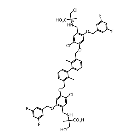 Cc1c(COc2cc(OCc3cc(F)cc(F)c3)c(CNC(C)(CO)C(=O)O)cc2Cl)cccc1-c1cccc(COc2cc(OCc3cc(F)cc(F)c3)c(CN[C@@](C)(CO)C(=O)O)cc2Cl)c1C